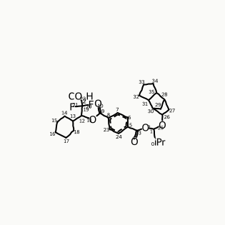 CC(C)C(OC(=O)c1ccc(C(=O)OC(C2CCCCC2)C(F)(F)C(=O)O)cc1)OC1CC2CC1C1CCCC21